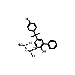 CC(C)(c1ccc(O)cc1)c1ccc(O)c(-c2ccccc2)c1.OP(O)OP(O)O